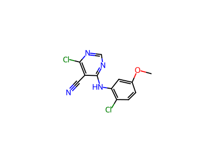 COc1ccc(Cl)c(Nc2ncnc(Cl)c2C#N)c1